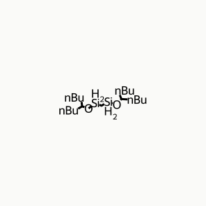 CCCCC(CCCC)O[SiH2]C[SiH2]OC(CCCC)CCCC